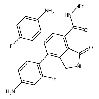 CC(C)NC(=O)c1ccc(-c2ccc(N)cc2F)c2c1C(=O)NC2.Nc1ccc(F)cc1